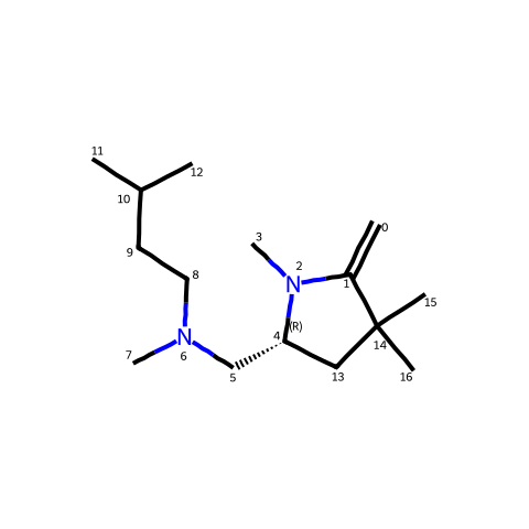 C=C1N(C)[C@@H](CN(C)CCC(C)C)CC1(C)C